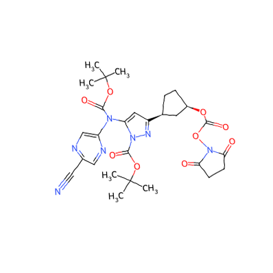 CC(C)(C)OC(=O)N(c1cnc(C#N)cn1)c1cc([C@H]2CC[C@@H](OC(=O)ON3C(=O)CCC3=O)C2)nn1C(=O)OC(C)(C)C